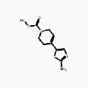 CC(C)(C)OC(=O)N1CC=C(c2cnc(N)s2)CC1